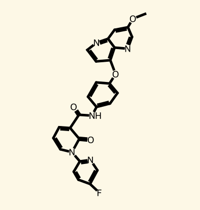 COc1cnc2c(Oc3ccc(NC(=O)c4cccn(-c5ccc(F)cn5)c4=O)cc3)ccnc2c1